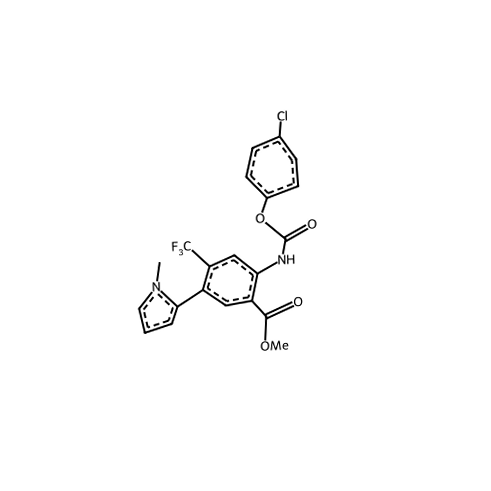 COC(=O)c1cc(-c2cccn2C)c(C(F)(F)F)cc1NC(=O)Oc1ccc(Cl)cc1